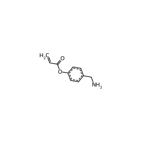 C=CC(=O)Oc1ccc(CN)cc1